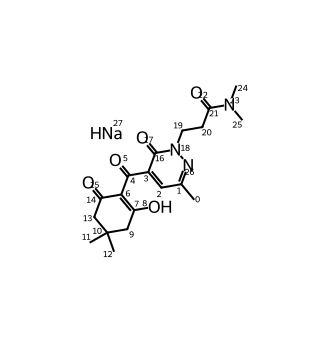 Cc1cc(C(=O)C2=C(O)CC(C)(C)CC2=O)c(=O)n(CCC(=O)N(C)C)n1.[NaH]